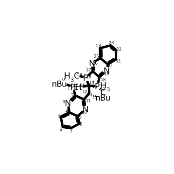 CCCCPc1nc2ccccc2nc1[C@@H](CCCC)C1(CC)P(C)c2nc3ccccc3nc2P1C